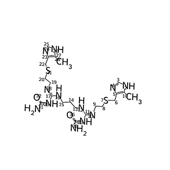 Cc1[nH]cnc1CSCC/N=C(\NCCCN/C(=N\CCSCc1nc[nH]c1C)NC(N)=O)NC(N)=O